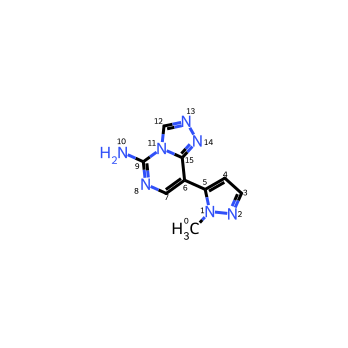 Cn1nccc1-c1cnc(N)n2cnnc12